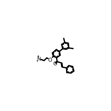 Cc1cc(C)cc(-c2ccc(OCCN(C)C)c(C(=O)/C=C/c3ccccc3)c2)c1